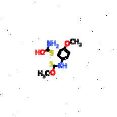 COC(=S)Nc1ccc(OC)cc1.NC(O)=S